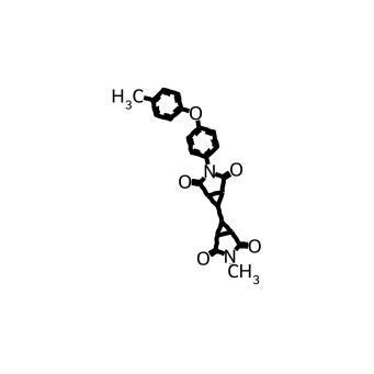 Cc1ccc(Oc2ccc(N3C(=O)C4C(C3=O)C4C3C4C(=O)N(C)C(=O)C43)cc2)cc1